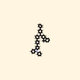 CC1(C)c2ccccc2-c2ccc(C(c3ccc(-c4ccccc4)cc3)c3cccc(-c4ccc(-c5ccc6c(c5)c5ccccc5n6-c5ccccc5)cc4)c3)cc21